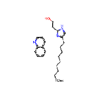 CCCCCCCCCCCCCCCCCCc1c[nH]c(CCO)n1.c1ccc2ncccc2c1